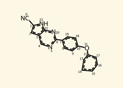 N#Cc1cc2cnc(-c3ccc(Oc4ccccc4)cc3)nc2[nH]1